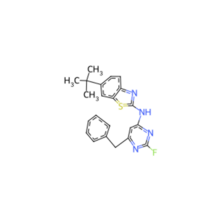 CC(C)(C)c1ccc2nc(Nc3cc(Cc4ccccc4)nc(F)n3)sc2c1